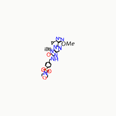 CC[C@@H](C)n1c(=O)c(NCc2ccc(S(=O)(=O)N3CCOCC3)cc2)nc2cnc(-c3c(OC)ncnc3C3CC3)nc21